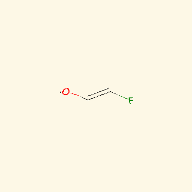 [O]C=CF